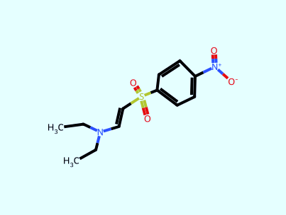 CCN(C=CS(=O)(=O)c1ccc([N+](=O)[O-])cc1)CC